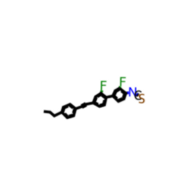 CCCc1ccc(C#Cc2ccc(-c3ccc(N=C=S)c(F)c3)c(F)c2)cc1